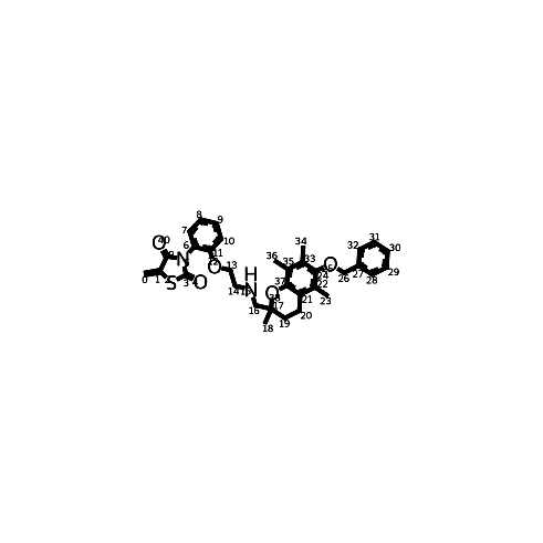 C=C1SC(=O)N(c2ccccc2OCCNCC2(C)CCc3c(C)c(OCc4ccccc4)c(C)c(C)c3O2)C1=O